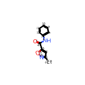 CCc1cc(C(=O)Nc2ccccc2)on1